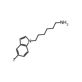 NCCCCCCn1ccc2cc(I)ccc21